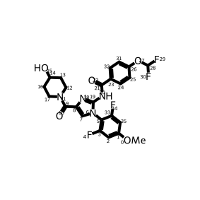 COc1cc(F)c(-n2cc(C(=O)N3CCC(O)CC3)nc2NC(=O)c2ccc(OC(F)F)cc2)c(F)c1